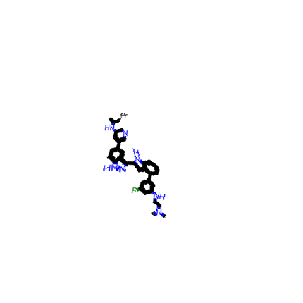 C=C(CC(C)C)Nc1cncc(-c2ccc3[nH]nc(-c4cc5c(-c6cc(F)cc(NCCN(C)C)c6)cccc5[nH]4)c3c2)c1